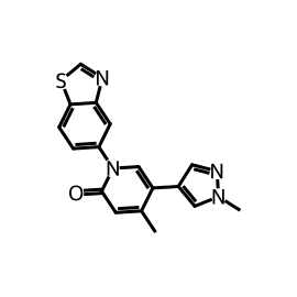 Cc1cc(=O)n(-c2ccc3scnc3c2)cc1-c1cnn(C)c1